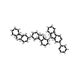 c1ccc(-c2ccc3c4ccccc4n(-c4cccc5c4sc4ccc(-c6ccc7sc8ccccc8c7c6)cc45)c3c2)cc1